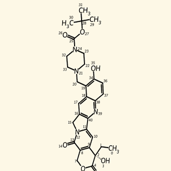 CC[C@@]1(O)C(=O)OCc2c1cc1n(c2=O)Cc2cc3c(CN4CCN(C(=O)OC(C)(C)C)CC4)c(O)ccc3nc2-1